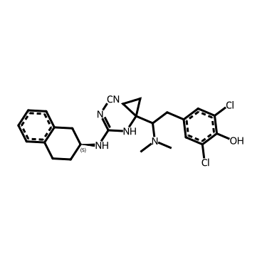 CN(C)C(Cc1cc(Cl)c(O)c(Cl)c1)C1(NC(=NC#N)N[C@H]2CCc3ccccc3C2)CC1